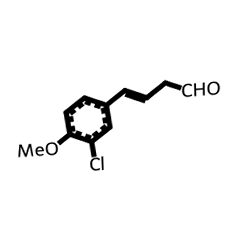 COc1ccc(C=CCC=O)cc1Cl